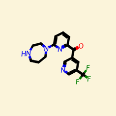 O=C(c1cncc(C(F)(F)F)c1)c1cccc(N2CCCNCC2)n1